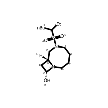 CCCCC(CC)S(=O)(=O)N1CCCCN2[C@H](C[C@H]2O)C1